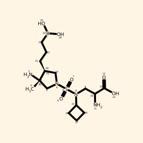 C[C@]1(N)CN(S(=O)(=O)N(CC(N)C(=O)O)C2CCC2)C[C@@H]1CCCB(O)O